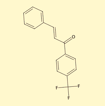 O=C(/C=C/c1ccccc1)c1ccc(C(F)(F)F)cc1